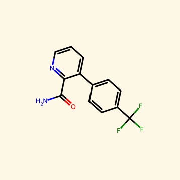 NC(=O)c1ncccc1-c1ccc(C(F)(F)F)cc1